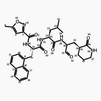 Cc1cc(C(=O)N[C@@H](Cc2cccc3ccccc23)C(=O)N[C@@H](CC(C)C)C(=O)NC(C=O)C[C@@H]2CCCNC2=O)no1